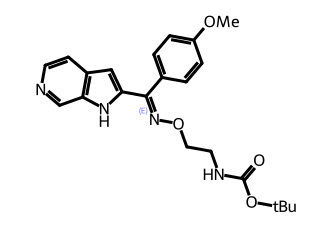 COc1ccc(/C(=N\OCCNC(=O)OC(C)(C)C)c2cc3ccncc3[nH]2)cc1